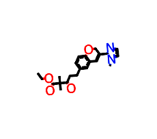 CCOC(=O)C(C)(C)C(=O)CCc1ccc2c(c1)C=C(c1nccn1C)CO2